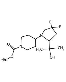 CC(C)(C)OC(=O)N1CCC(N2CC(F)(F)CC2C(C)(C)O)CC1